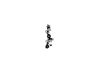 CCOc1ccccc1CCC(=O)Nc1sc2c(c1C#N)CCC(COC(=O)NCc1cn(C)nc1C)C2